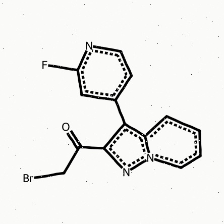 O=C(CBr)c1nn2ccccc2c1-c1ccnc(F)c1